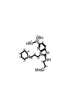 CCCCN(CCCC)c1ccc2nc(NCCOC)n(CCCN3CCCCC3)c2n1